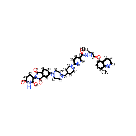 CC(C)(C)C(CCOc1ccc(C#N)c2ncccc12)NC(=O)c1ccc(N2CCC(CN3CCN(c4ccc5c(c4)C(=O)N(C4CCC(=O)NC4=O)C5=O)CC3)CC2)nc1